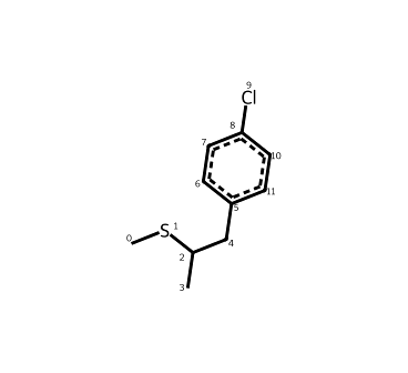 CSC(C)Cc1ccc(Cl)cc1